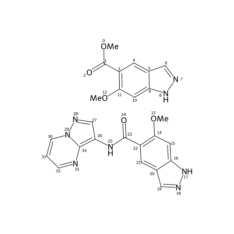 COC(=O)c1cc2cn[nH]c2cc1OC.COc1cc2[nH]ncc2cc1C(=O)Nc1cnn2cccnc12